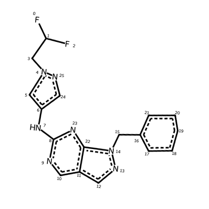 FC(F)Cn1cc(Nc2ncc3cnn(Cc4ccccc4)c3n2)cn1